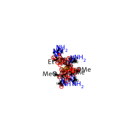 CC[C@H]1O[C@@H](n2cnc3c(N)ncnc32)C(OCCOC)[C@H]1OP(=O)(O)OC[C@H]1O[C@@H](n2cc(C)c(N)nc2=O)C(OCCOC)[C@H]1OP(=O)(S)OC[C@H]1O[C@@H](n2cc(C)c(=O)[nH]c2=O)C(OCCOC)[C@H]1OP(=O)(S)OC[C@H]1O[C@@H](n2cc(C)c(N)nc2=O)C(OCCOC)[C@H]1O